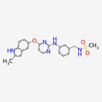 Cc1cc2cc(Oc3ccnc(Nc4cccc(CNS(C)(=O)=O)c4)n3)ccc2[nH]1